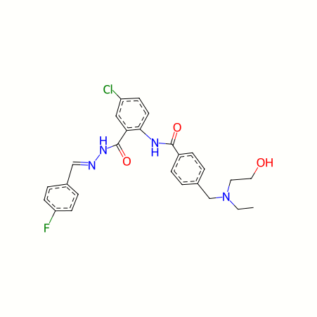 CCN(CCO)Cc1ccc(C(=O)Nc2ccc(Cl)cc2C(=O)NN=Cc2ccc(F)cc2)cc1